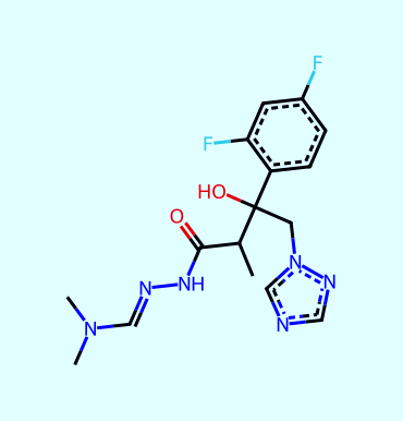 CC(C(=O)NN=CN(C)C)C(O)(Cn1cncn1)c1ccc(F)cc1F